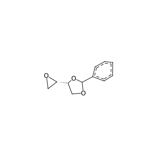 c1ccc(C2OCC([C@@H]3CO3)O2)cc1